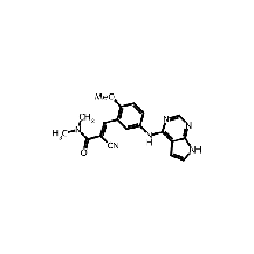 COc1ccc(Nc2ncnc3[nH]ccc23)cc1/C=C(\C#N)C(=O)N(C)C